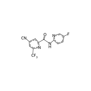 [C-]#[N+]c1cc(C(=O)Nc2ccc(F)cn2)nc(C(F)(F)F)c1